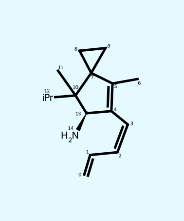 C=C/C=C\C1=C(C)C2(CC2)C(C)(C(C)C)[C@@H]1N